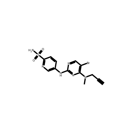 C#CCN(C)c1nc(Nc2ccc(S(N)(=O)=O)nc2)ncc1Br